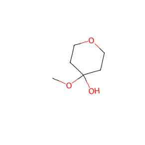 COC1(O)CCOCC1